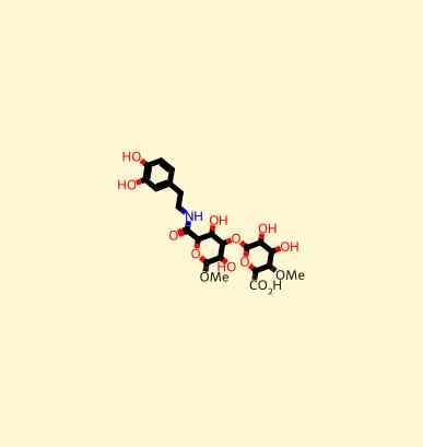 COC1OC(C(=O)NCCc2ccc(O)c(O)c2)C(O)C(OC2OC(C(=O)O)C(OC)C(O)C2O)C1O